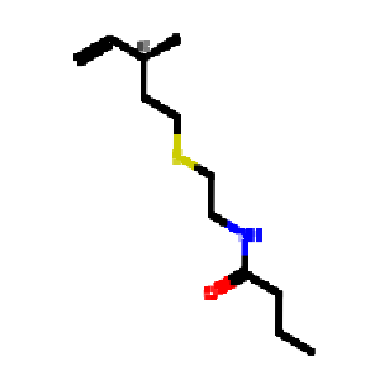 C=C[C@@H](C)CCSCCNC(=O)CCC